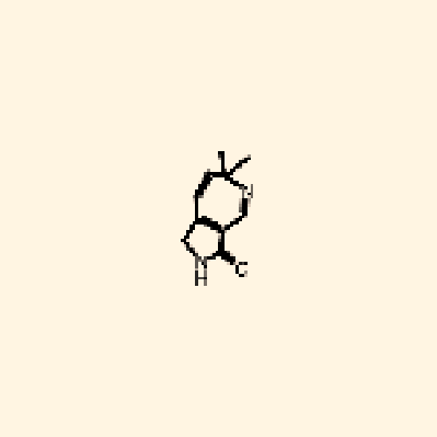 CC1(C)C=CC2=C(C=N1)C(=O)NC2